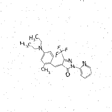 CCN(CC)c1ccc(/C=C2/C(=O)N(c3ccccn3)N=C2C(F)(F)F)c(C)c1